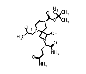 CC(C)CN1CCN(C(=O)OC(C)(C)C)CC12CN([C@@H](CCC(N)=O)C(N)=O)C2O